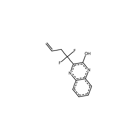 C=CCC(F)(F)c1nc2ccccc2nc1O